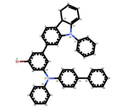 Brc1cc(-c2ccc3c(c2)N(c2ccccc2)C2=CC=CCC23)cc(N(c2ccccc2)c2ccc(-c3ccccc3)cc2)c1